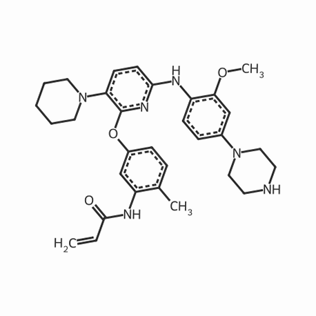 C=CC(=O)Nc1cc(Oc2nc(Nc3ccc(N4CCNCC4)cc3OC)ccc2N2CCCCC2)ccc1C